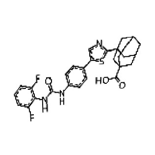 O=C(Nc1ccc(-c2cnc(C34CC5CC(CC(C(=O)O)(C5)C3)C4)s2)cc1)Nc1c(F)cccc1F